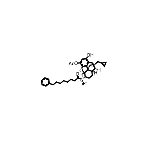 CC(=O)Oc1cc(O)c2c3c1O[C@H]1[C@H](N(C(=O)CCCCCCCc4ccccc4)C(C)C)CC[C@H]4[C@@H](C2)N(CC2CC2)CC[C@@]341